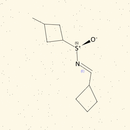 CC1CC([S@@+]([O-])/N=C/C2CCC2)C1